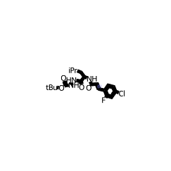 CC(C)CC(NC(=O)/C=C/c1ccc(Cl)cc1F)C(=O)NNC(=O)OC(C)(C)C